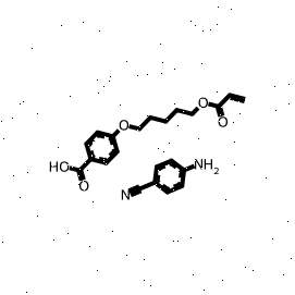 C=CC(=O)OCCCCCOc1ccc(C(=O)O)cc1.N#Cc1ccc(N)cc1